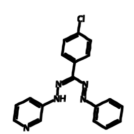 Clc1ccc(C(N=Nc2ccccc2)=NNc2cccnc2)cc1